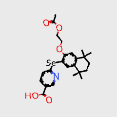 CC(=O)OCCOc1cc2c(cc1[Se]c1ccc(C(=O)O)cn1)C(C)(C)CCC2(C)C